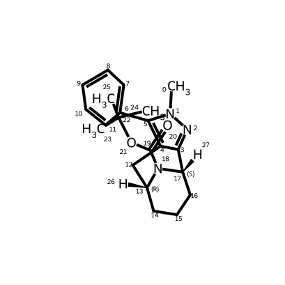 Cn1nc2c(c1-c1ccccc1)C[C@H]1CCC[C@@H]2N1C(=O)OC(C)(C)C